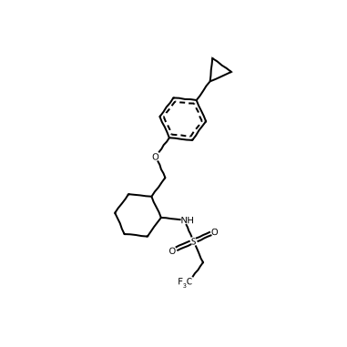 O=S(=O)(CC(F)(F)F)NC1CCCCC1COc1ccc(C2CC2)cc1